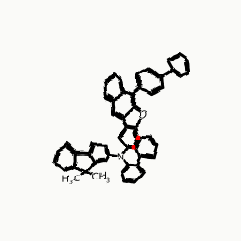 CC1(C)c2ccccc2-c2ccc(N(c3ccc4oc5c(-c6ccc(-c7ccccc7)cc6)c6ccccc6cc5c4c3)c3ccccc3-c3ccccc3)cc21